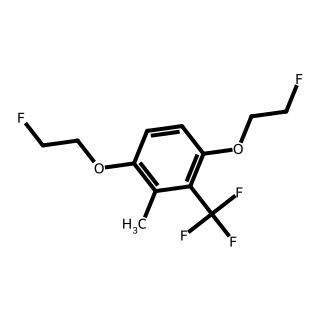 Cc1c(OCCF)ccc(OCCF)c1C(F)(F)F